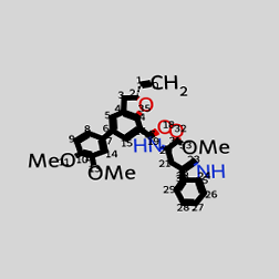 C=C[C@H]1Cc2cc(-c3ccc(OC)c(OC)c3)cc(C(=O)NC(Cc3c[nH]c4ccccc34)C(=O)OC)c2O1